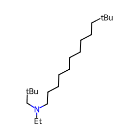 CCN(CCCCCCCCCCC(C)(C)C)CC(C)(C)C